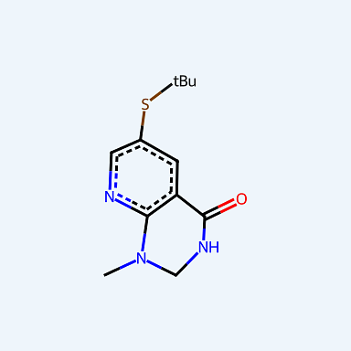 CN1CNC(=O)c2cc(SC(C)(C)C)cnc21